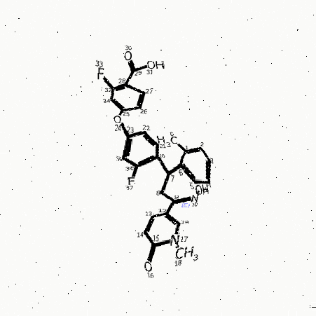 Cc1ccccc1C(C/C(=N\O)c1ccc(=O)n(C)c1)c1ccc(Oc2ccc(C(=O)O)c(F)c2)cc1F